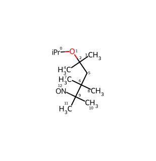 CC(C)OC(C)(C)CC(C)(C)C(C)(C)N=O